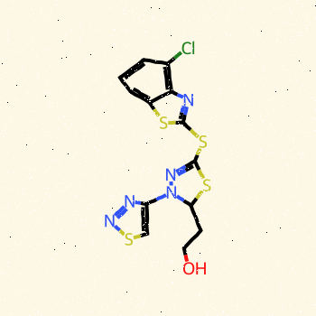 OCCC1SC(Sc2nc3c(Cl)cccc3s2)=NN1c1csnn1